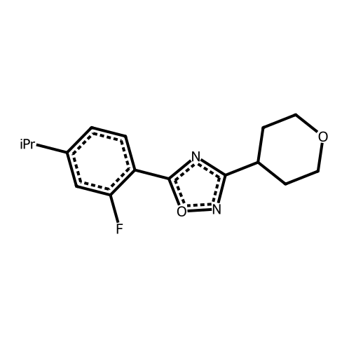 CC(C)c1ccc(-c2nc(C3CCOCC3)no2)c(F)c1